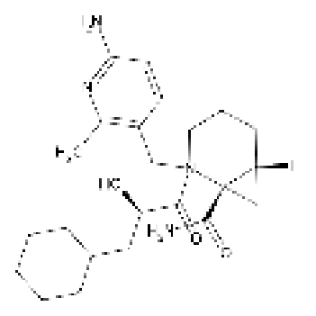 Cc1nc(N)ccc1C[N+]1(C(=O)[C@H](O)CC2CCCCC2)CCC[C@@H]2C[C@@]21C(N)=O